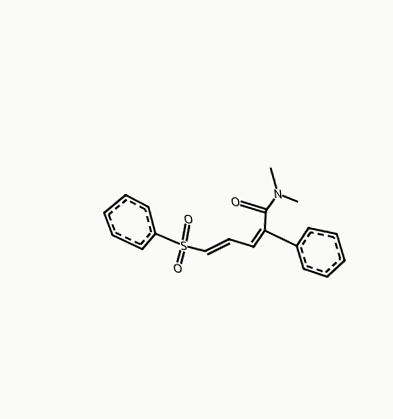 CN(C)C(=O)C(=CC=CS(=O)(=O)c1ccccc1)c1ccccc1